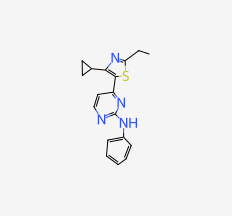 CCc1nc(C2CC2)c(-c2ccnc(Nc3ccccc3)n2)s1